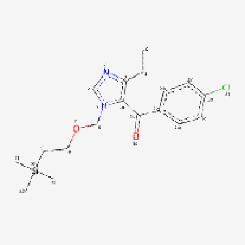 CCc1ncn(COCC[Si](C)(C)C)c1C(=O)c1ccc(Cl)cc1